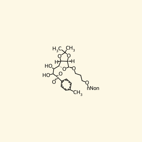 CCCCCCCCCOCCCO[C@H]1O[C@H]([C@H](O)C(O)S(=O)(=O)c2ccc(C)cc2)[C@@H]2OC(C)(C)O[C@H]12